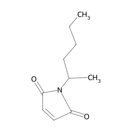 CCCCC(C)N1C(=O)C=CC1=O